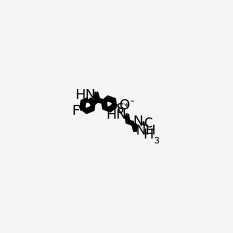 Cc1nc(CCN[S+]([O-])c2ccc(-c3c[nH]c4cc(F)ccc34)cc2)c[nH]1